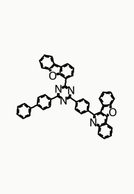 c1ccc(-c2ccc(-c3nc(-c4ccc(-c5nc6ccccc6c6oc7ccccc7c56)cc4)nc(-c4cccc5c4oc4ccccc45)n3)cc2)cc1